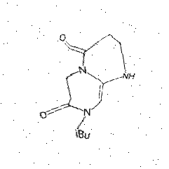 CCC(C)N1C=C2NCCC(=O)N2CC1=O